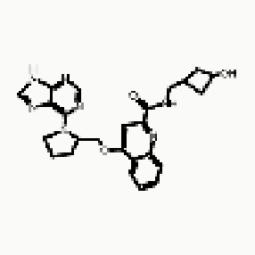 O=C(NCC1CC(O)C1)c1cc(OCC2CCCN2c2ncnc3[nH]cnc23)c2ccccc2n1